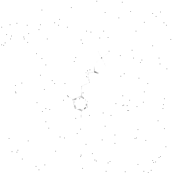 CC(C)(C)OC(=O)NCCc1ncc(Cl)cc1Cl